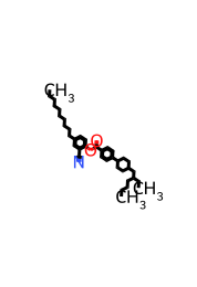 CCCCCCCCCCc1ccc(OC(=O)c2ccc(C3CCC(CC(CC)CCCC)CC3)cc2)c(C#N)c1